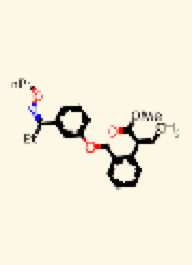 CC=C(C(=O)OC)c1ccccc1COc1cccc(/C(CC)=N\OCCC)c1